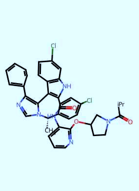 CC(C)C(=O)N1CCC(Oc2ncccc2NC(=O)c2[nH]c3cc(Cl)ccc3c2-c2c(-c3ccccc3)ncn2[C@@H](C)c2ccc(Cl)cc2)C1